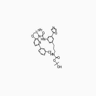 CCC[C@H]1COc2ccc(-c3cccc(C(F)(F)F)c3)nc2N1C(=O)Nc1cc(CCCNC(=O)OC(C)(C)O)cc(-c2cnco2)c1